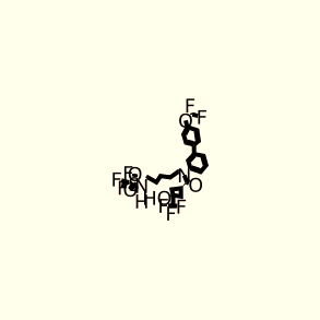 O=C([C@H]1C[C@](O)(C(F)(F)F)C1)N(CCCCCNS(=O)(=O)C(F)(F)F)c1cccc(-c2ccc(OC(F)F)cc2)c1